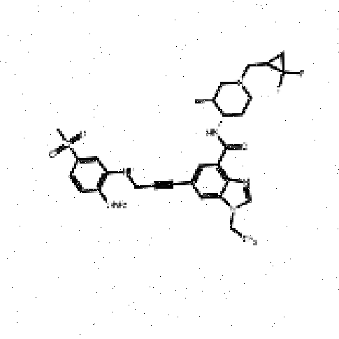 COc1ccc(S(C)(=O)=O)cc1NCC#Cc1cc(C(=O)N[C@H]2CCN(CC3CC3(F)F)C[C@@H]2C)c2ncn(CC(F)(F)F)c2c1